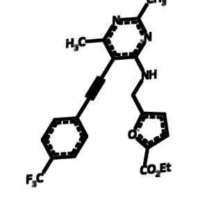 CCOC(=O)c1ccc(CNc2nc(C)nc(C)c2C#Cc2ccc(C(F)(F)F)cc2)o1